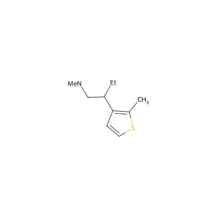 CCC(CNC)c1ccsc1C